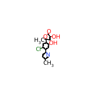 Cc1ccc(-c2ccc(C3(C)OC(=O)C(O)=C3O)cc2Cl)nc1